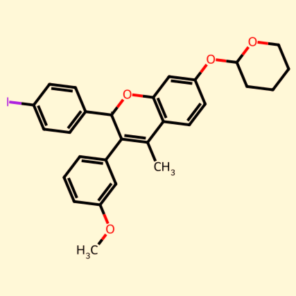 COc1cccc(C2=C(C)c3ccc(OC4CCCCO4)cc3O[C]2c2ccc(I)cc2)c1